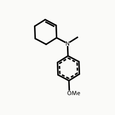 COc1ccc(N(C)C2C=CCCC2)cc1